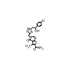 Cc1c(C(N)=O)sc2ncn(Cc3nnn(CC(O)c4ccc(Cl)cc4)n3)c(=O)c12